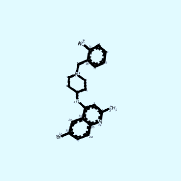 Cc1cc(OC2CCN(Cc3ccccc3C#N)CC2)c2cc(Br)ccc2n1